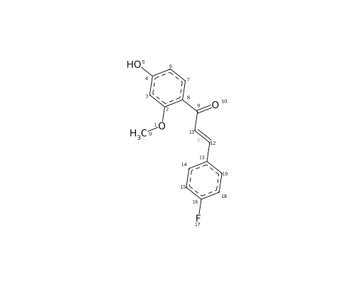 COc1cc(O)ccc1C(=O)/C=C/c1ccc(F)cc1